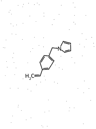 C=Cc1ccc(Cn2cccc2)cc1